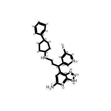 Nc1cc(C(CCNC2CCC(c3ccccc3)CC2)c2cncc(F)c2)c2nn[nH]c2n1